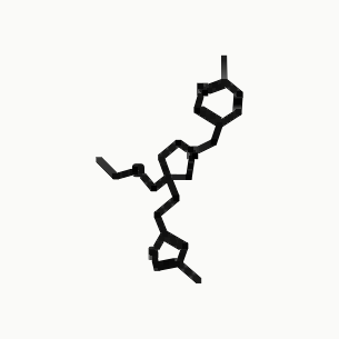 CCOCC1(CCc2cc(C)cs2)CCN(Cc2ccc(C)nc2)C1